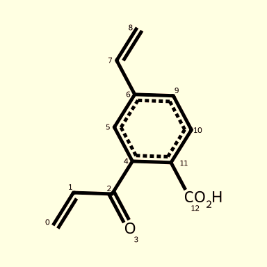 C=CC(=O)c1cc(C=C)ccc1C(=O)O